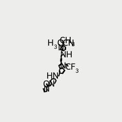 CC(C)(C#N)c1ccc(NCC#Cc2cc3cc(CNC4CCN(CC(=O)N5CCC5)CC4)ccc3n2CC(F)(F)F)cn1